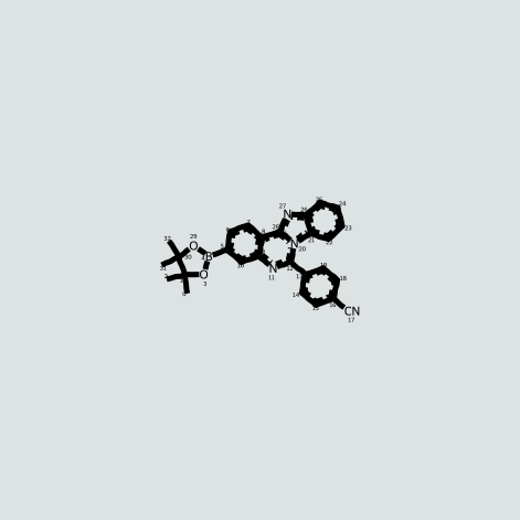 CC1(C)OB(c2ccc3c(c2)nc(-c2ccc(C#N)cc2)n2c4ccccc4nc32)OC1(C)C